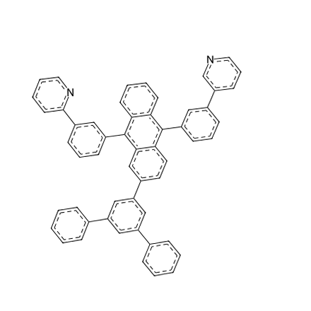 c1ccc(-c2cc(-c3ccccc3)cc(-c3ccc4c(-c5cccc(-c6cccnc6)c5)c5ccccc5c(-c5cccc(-c6ccccn6)c5)c4c3)c2)cc1